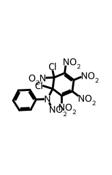 O=[N+]([O-])C1=C([N+](=O)[O-])C(Cl)(N(c2ccccc2)[N+](=O)[O-])C(Cl)([N+](=O)[O-])C([N+](=O)[O-])=C1[N+](=O)[O-]